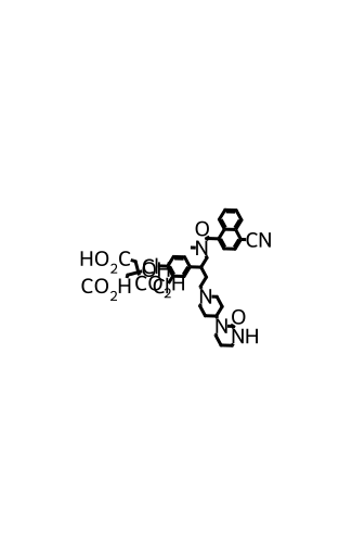 CN(CC(CCN1CCC(N2CCCNC2=O)CC1)c1ccc(Cl)c(Cl)c1)C(=O)c1ccc(C#N)c2ccccc12.O=C(O)CC(O)(CC(=O)O)C(=O)O